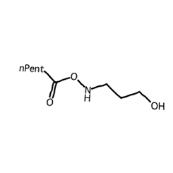 CCCCCC(=O)ONCCCO